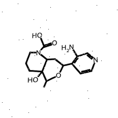 CC1OC(c2ccncc2N)CC2N(C(=O)O)CCCC12O